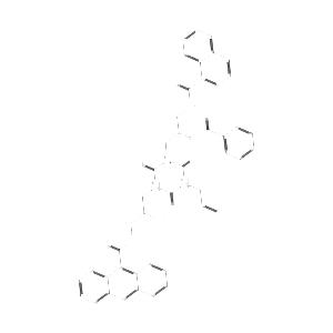 C=CCn1c(=O)n(CC(O)COC(=O)c2c3ccccc3cc3ccccc23)c(=O)n(CC(COC(=O)c2cccc3ccccc23)OC(=O)c2ccccc2)c1=O